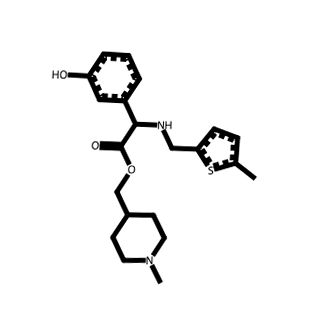 Cc1ccc(CNC(C(=O)OCC2CCN(C)CC2)c2cccc(O)c2)s1